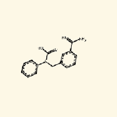 N=C(N)c1cccc(CN(C(=O)O)c2ccccc2)c1